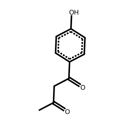 CC(=O)CC(=O)c1ccc(O)cc1